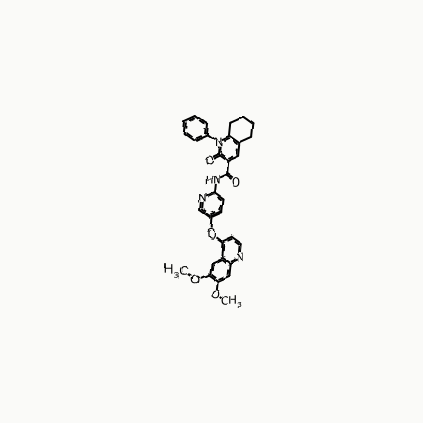 COc1cc2nccc(Oc3ccc(NC(=O)c4cc5c(n(-c6ccccc6)c4=O)CCCC5)nc3)c2cc1OC